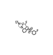 CCN1CCN(c2cccc3c2c(C(F)F)cn3S(=O)(=O)c2cccc(F)c2)CC1